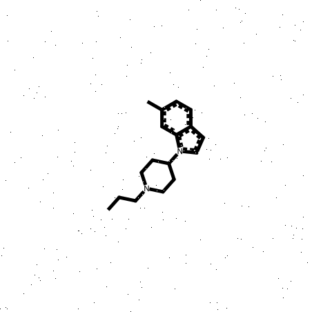 CCCN1CCC(n2ccc3ccc(C)cc32)CC1